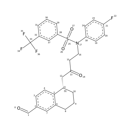 O=Cc1ccc2c(c1)CCC[C@H]2CC(=O)CCN(c1ccc(F)cc1)S(=O)(=O)c1cccc(C(F)(F)F)c1